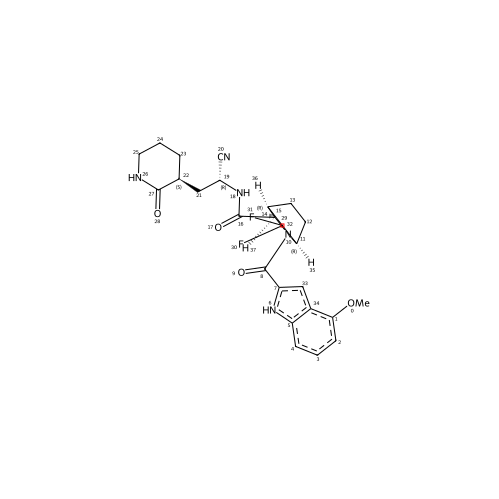 COc1cccc2[nH]c(C(=O)N3[C@@H]4CC[C@H]([C@@H]3C(=O)N[C@@H](C#N)C[C@@H]3CCCNC3=O)C(F)(F)C4)cc12